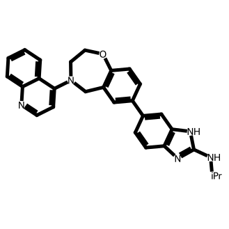 CC(C)Nc1nc2ccc(-c3ccc4c(c3)CN(c3ccnc5ccccc35)CCO4)cc2[nH]1